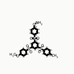 COc1ccc(S(=O)(=O)c2cc(S(=O)(=O)c3ccc(C)cc3)cc(S(=O)(=O)c3ccc(ON)cc3)c2)cc1